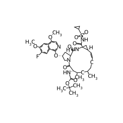 COc1cc2c(OC)cnc(O[C@@H]3C[C@H]4C(=O)N[C@]5(C(=O)NS(=O)(=O)C6CC6)C[C@H]5/C=C\CC[C@@H](C)C[C@@H](C)[C@H](NC(=O)OC(C)(C)C)C(=O)N4C3)c2cc1F